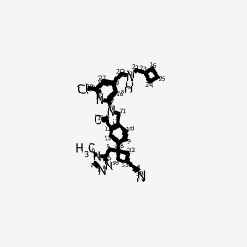 Cn1cnnc1CC1(c2ccc3c(c2)C(=O)N(c2cc(CNCC4CCC4)cc(Cl)n2)C3)CC(C#N)C1